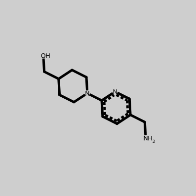 NCc1ccc(N2CCC(CO)CC2)nc1